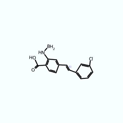 BNc1cc(/C=C/c2cccc(Cl)c2)ccc1C(=O)O